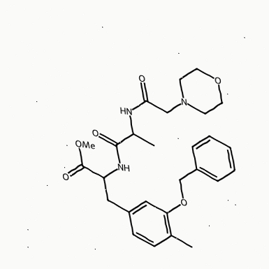 COC(=O)C(Cc1ccc(C)c(OCc2ccccc2)c1)NC(=O)C(C)NC(=O)CN1CCOCC1